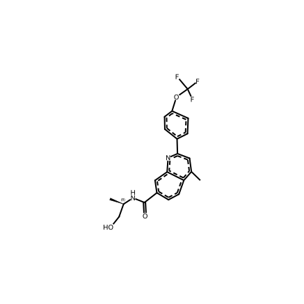 Cc1cc(-c2ccc(OC(F)(F)F)cc2)nc2cc(C(=O)N[C@H](C)CO)ccc12